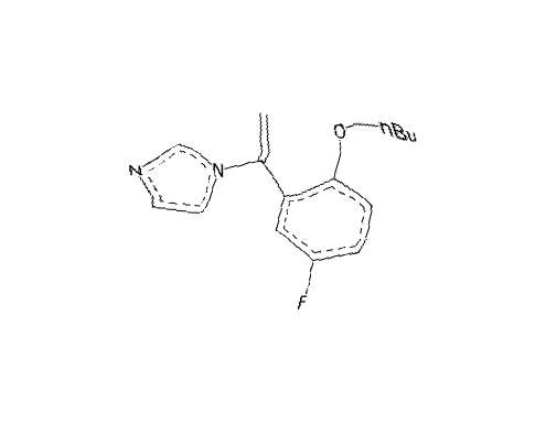 C=C(c1cc(F)ccc1OCCCC)n1ccnc1